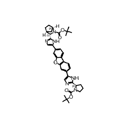 CC(C)(C)OC(=O)N1CCC[C@@H]1c1ncc(-c2ccc3c(c2)oc2cc(-c4cnc([C@@H]5[C@H]6CC[C@H](C6)N5C(=O)OC(C)(C)C)[nH]4)ccc23)[nH]1